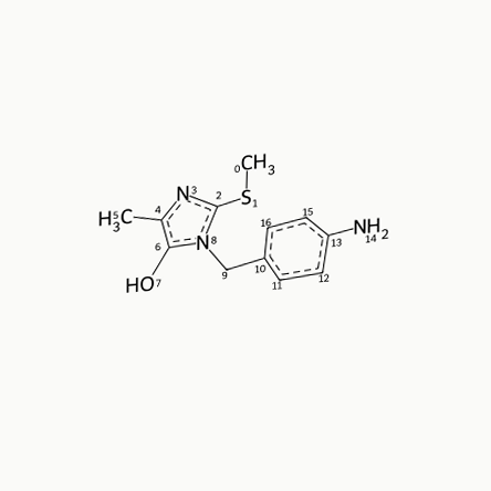 CSc1nc(C)c(O)n1Cc1ccc(N)cc1